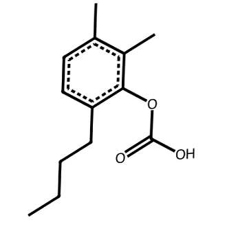 CCCCc1ccc(C)c(C)c1OC(=O)O